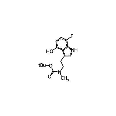 CN(CCc1c[nH]c2c(F)ccc(O)c12)C(=O)OC(C)(C)C